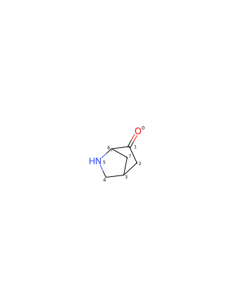 O=C1CC2CN[C]1C2